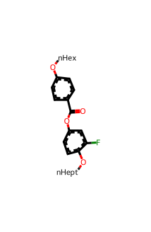 CCCCCCCOc1ccc(OC(=O)c2ccc(OCCCCCC)cc2)cc1F